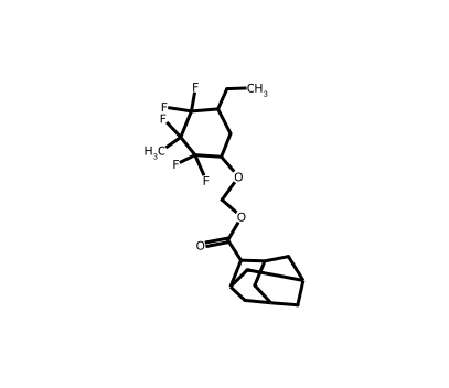 CCC1CC(OCOC(=O)C2C3CC4CC(C3)CC2C4)C(F)(F)C(C)(F)C1(F)F